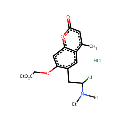 CCOC(=O)COc1cc2oc(=O)cc(C)c2cc1CC(Cl)N(CC)CC.Cl